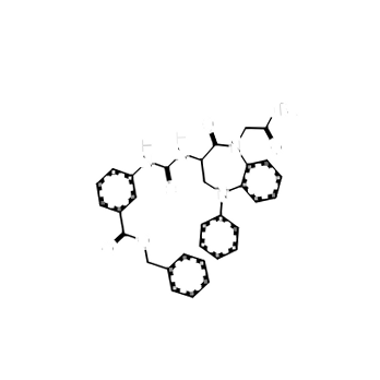 CC(C)(C)C(=O)CN1C(=O)C(NC(=O)Nc2cccc(C(=O)OCc3ccccc3)c2)CN(c2ccccc2)c2ccccc21